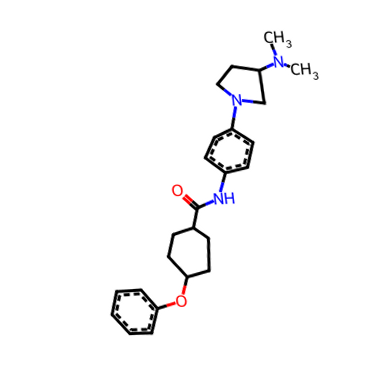 CN(C)C1CCN(c2ccc(NC(=O)C3CCC(Oc4ccccc4)CC3)cc2)C1